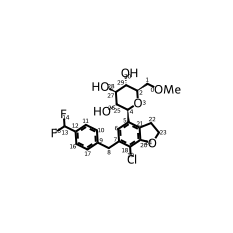 COC[C@H]1O[C@@H](c2cc(Cc3ccc(C(F)F)cc3)c(Cl)c3c2CCO3)[C@H](O)[C@@H](O)[C@@H]1O